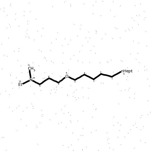 CCCCCCCCCCCCOCCCN(C)CC